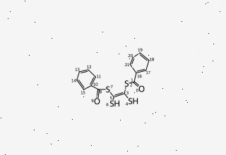 O=C(S/C(S)=C(/S)SC(=O)c1ccccc1)c1ccccc1